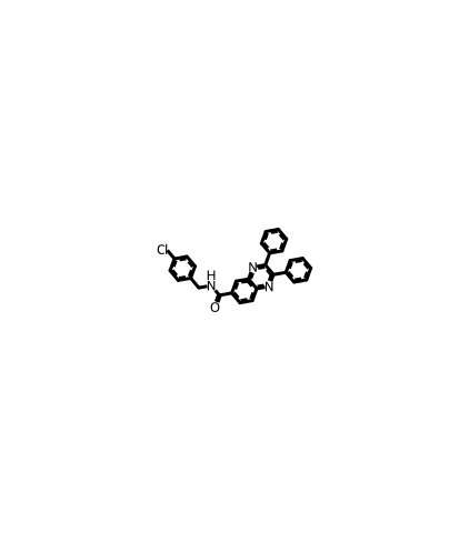 O=C(NCc1ccc(Cl)cc1)c1ccc2nc(-c3ccccc3)c(-c3ccccc3)nc2c1